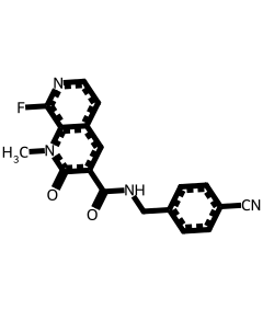 Cn1c(=O)c(C(=O)NCc2ccc(C#N)cc2)cc2ccnc(F)c21